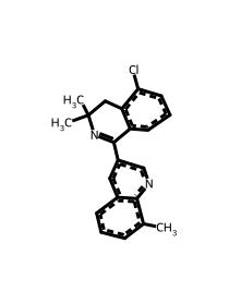 Cc1cccc2cc(C3=NC(C)(C)Cc4c(Cl)cccc43)cnc12